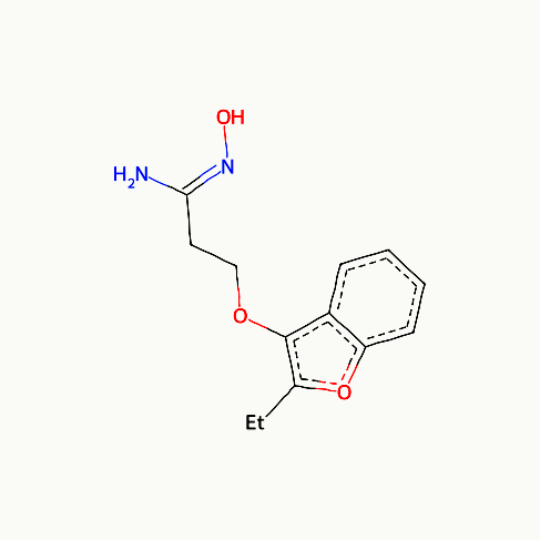 CCc1oc2ccccc2c1OCCC(N)=NO